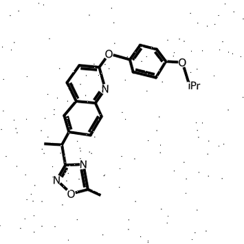 Cc1nc(C(C)c2ccc3nc(Oc4ccc(OC(C)C)cc4)ccc3c2)no1